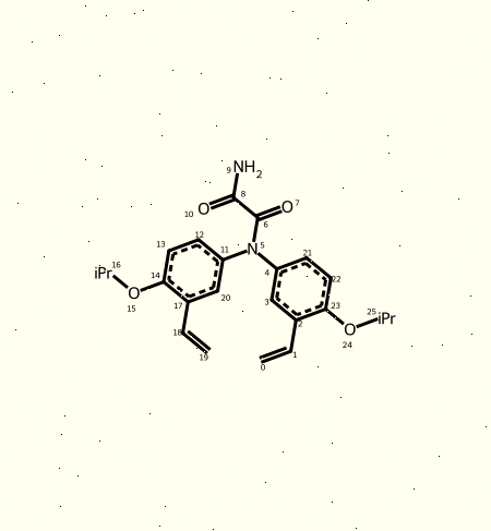 C=Cc1cc(N(C(=O)C(N)=O)c2ccc(OC(C)C)c(C=C)c2)ccc1OC(C)C